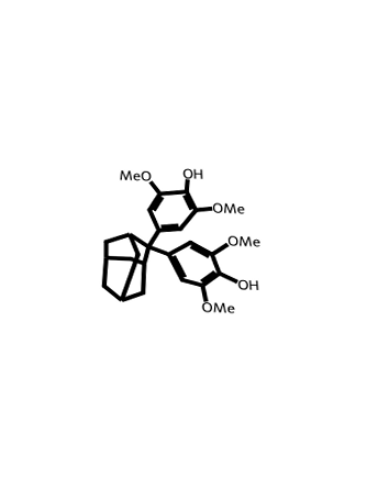 COc1cc(C2(c3cc(OC)c(O)c(OC)c3)C3CC4CC(C3)CC2C4)cc(OC)c1O